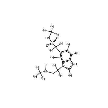 [2H]c1[nH]c2c([2H])c([2H])c(C([2H])([2H])S(=O)(=O)NC([2H])([2H])[2H])c([2H])c2c1C([2H])([2H])CN(C)C([2H])([2H])[2H]